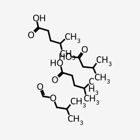 CC(C)CC(=O)O.CC(C)CCC(=O)O.CC(C)CCC(=O)O.CC(C)COC=O